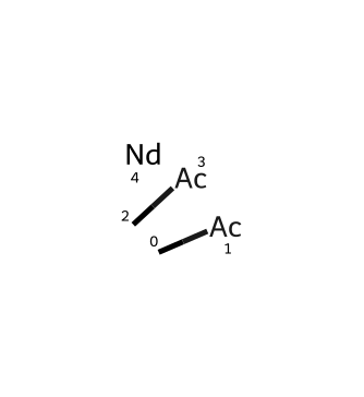 CC(C)=O.CC(C)=O.[Nd]